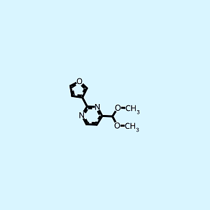 COC(OC)c1ccnc(-c2ccoc2)n1